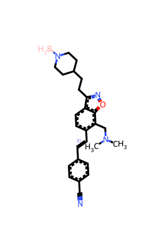 BN1CCC(CCc2noc3c(CN(C)C)c(/C=C/c4ccc(C#N)cc4)ccc23)CC1